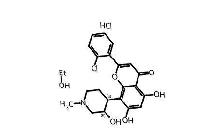 CCO.CN1CC[C@@H](c2c(O)cc(O)c3c(=O)cc(-c4ccccc4Cl)oc23)[C@@H](O)C1.Cl